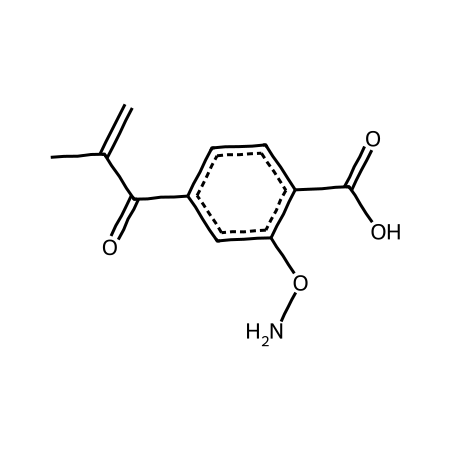 C=C(C)C(=O)c1ccc(C(=O)O)c(ON)c1